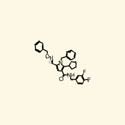 O=C(NCc1ccc(F)c(F)c1)c1cc(/C=N/OCc2ccccc2)n(Cc2ccccc2)c1C1CCCC1